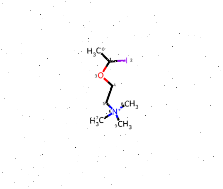 CC(I)OCC[N+](C)(C)C